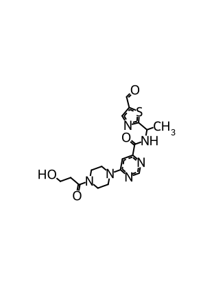 CC(NC(=O)c1cc(N2CCN(C(=O)CCO)CC2)ncn1)c1ncc(C=O)s1